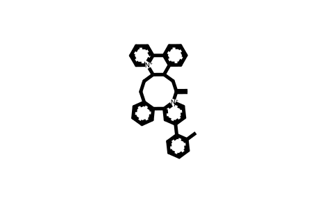 C=C1CC2c3ccccc3-c3cccc[n+]3C2CCc2ccccc2-c2cc(-c3ccccc3C)cc[n+]21